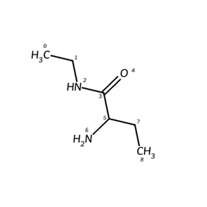 CCNC(=O)C(N)CC